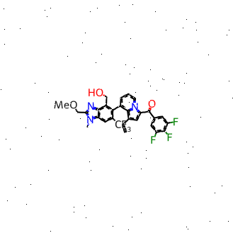 C=Cc1cc(C(=O)c2cc(F)c(F)c(F)c2)n2cccc(-c3c(C(F)(F)F)cc4c(nc(COC)n4C)c3CO)c12